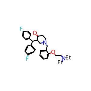 CCN(CC)CCOc1ccccc1CN1CCC(=O)C(C(c2ccc(F)cc2)c2ccc(F)cc2)C1